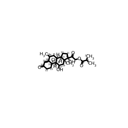 CC(C)C(=O)OCC(=O)[C@@]1(O)CC[C@H]2[C@@H]3CC(C)C4=CC(=O)CC[C@]4(C)[C@H]3C(O)C[C@@]21C